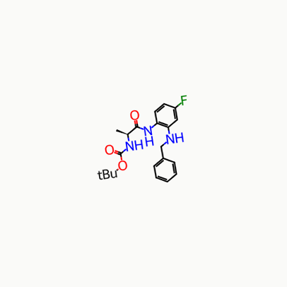 C[C@H](NC(=O)OC(C)(C)C)C(=O)Nc1ccc(F)cc1NCc1ccccc1